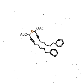 CC(=O)OC(C#CCCCCCc1ccccc1)SC(C#CCCCCCc1ccccc1)OC(C)=O